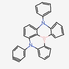 c1ccc(N2c3ccccc3B3c4ccccc4N(c4ccccc4)c4cccc2c43)cc#1